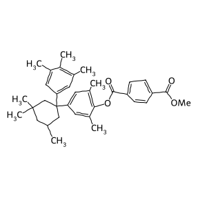 COC(=O)c1ccc(C(=O)Oc2c(C)cc(C3(c4cc(C)c(C)c(C)c4)CC(C)CC(C)(C)C3)cc2C)cc1